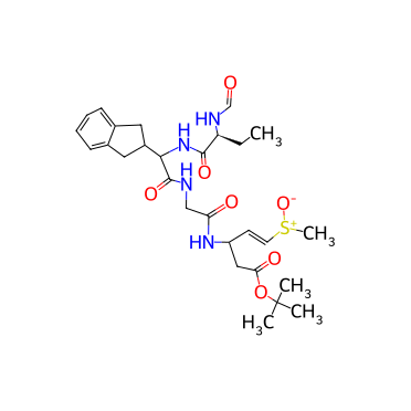 CC[C@H](NC=O)C(=O)NC(C(=O)NCC(=O)NC(/C=C/[S+](C)[O-])CC(=O)OC(C)(C)C)C1Cc2ccccc2C1